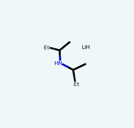 CCC(C)NC(C)CC.[LiH]